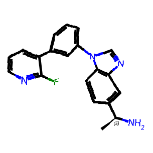 C[C@H](N)c1ccc2c(c1)ncn2-c1cccc(-c2cccnc2F)c1